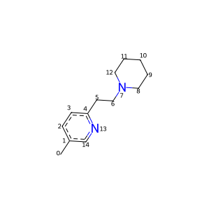 Cc1ccc(CCN2CCCCC2)nc1